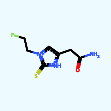 NC(=O)Cc1cn(CCF)c(=S)[nH]1